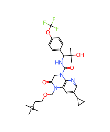 CC(C)(O)C(NC(=O)N1CC(=O)N(COCC[Si](C)(C)C)c2cc(C3CC3)cnc21)c1ccc(OC(F)(F)F)cc1